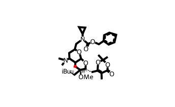 CC[C@H](C)C[C@@](C)(OC)[C@@H](CC1=C(C)C(=O)OC(C)(C)O1)OC1OC(CN(C(=O)OCc2ccccc2)C2CC2)CC(N(C)C)C1C